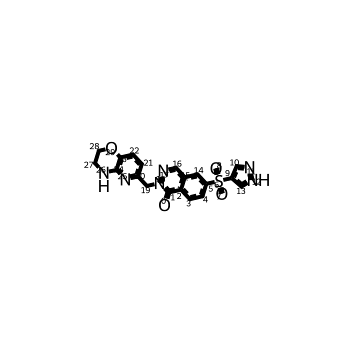 O=c1c2ccc(S(=O)(=O)c3cn[nH]c3)cc2cnn1Cc1ccc2c(n1)NCCO2